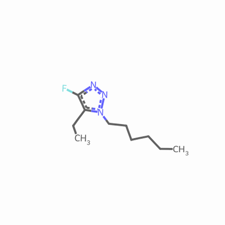 CCCCCCn1nnc(F)c1CC